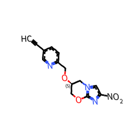 C#Cc1ccc(CO[C@@H]2COc3nc([N+](=O)[O-])cn3C2)nc1